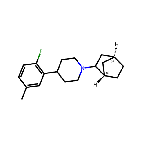 Cc1ccc(F)c(C2CCN(C3C[C@H]4CC[C@H]3C4)CC2)c1